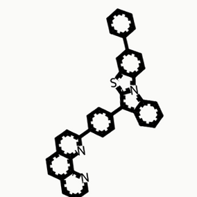 c1ccc(-c2ccc3c(c2)sc2c(-c4ccc(-c5ccc6ccc7cccnc7c6n5)cc4)c4ccccc4n23)cc1